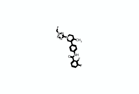 CC1=C(c2ccc(NC(=O)c3cccc(F)c3F)cc2)CN(c2nnn(CF)n2)CC1